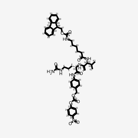 C=C(N[C@@H](CCCNC(N)=O)C(=O)Nc1ccc(COC(=O)Oc2ccc([N+](=O)[O-])cc2)cc1)[C@@H](NC(=O)CCCCCNC(=O)OCC1c2ccccc2-c2ccccc21)C(C)C